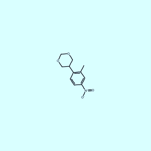 Cc1cc([N+](=O)[O-])ccc1C1COCOC1